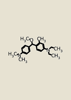 CCN(CC)c1ccc(C(OC)c2ccc(N(C)C)cc2)c(C)c1